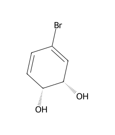 O[C@@H]1C=CC(Br)=C[C@@H]1O